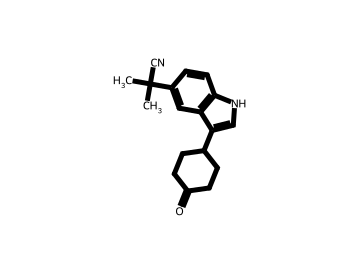 CC(C)(C#N)c1ccc2[nH]cc(C3CCC(=O)CC3)c2c1